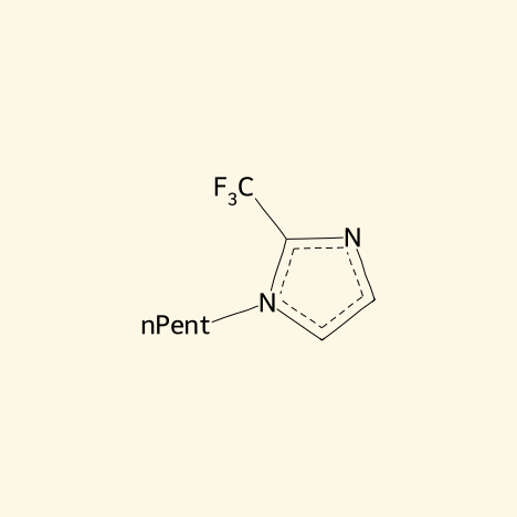 CCCCCn1ccnc1C(F)(F)F